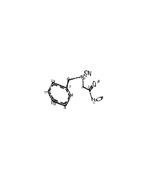 N#CB(CC(=O)N=O)Cc1ccccc1